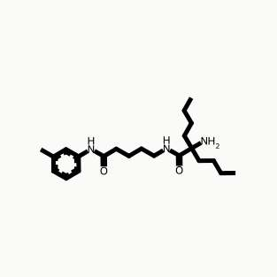 CCCCC(N)(CCCC)C(=O)NCCCCC(=O)Nc1cccc(C)c1